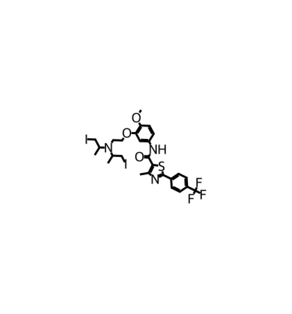 COc1ccc(NC(=O)c2sc(-c3ccc(C(F)(F)F)cc3)nc2C)cc1OCCN(C(C)CI)C(C)CI